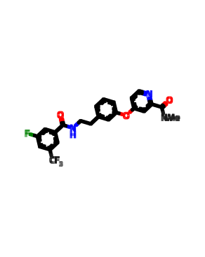 CNC(=O)c1cc(Oc2cccc(CCNC(=O)c3cc(F)cc(C(F)(F)F)c3)c2)ccn1